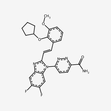 COc1cccc(C=Cc2nc3cc(F)c(F)cc3n2-c2ccc(C(N)=O)nn2)c1OC1CCCC1